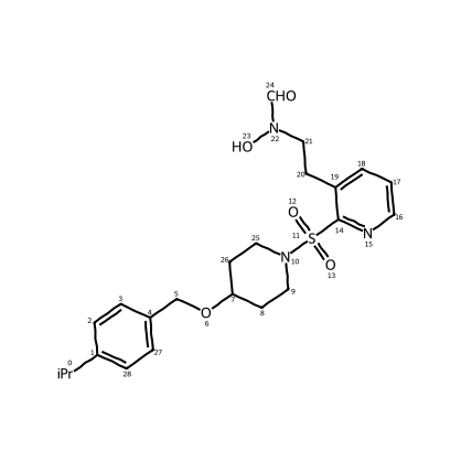 CC(C)c1ccc(COC2CCN(S(=O)(=O)c3ncccc3CCN(O)C=O)CC2)cc1